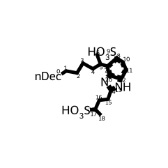 CCCCCCCCCCCCCCC(C)c1c(S(=O)(=O)O)ccc2[nH]c(CCC(C)S(=O)(=O)O)nc12